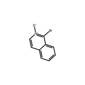 [O-][n+]1ccc2ccccc2c1Br